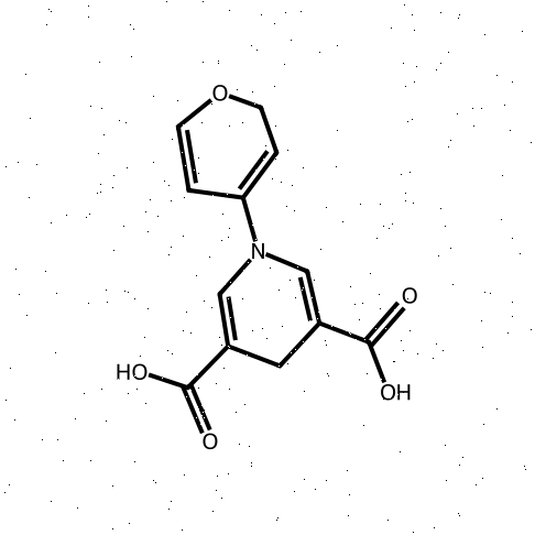 O=C(O)C1=CN(C2=CCOC=C2)C=C(C(=O)O)C1